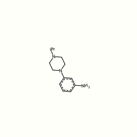 CC(C)N1CCN(c2cccc(N)c2)CC1